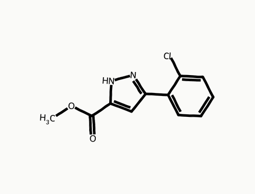 COC(=O)c1cc(-c2ccccc2Cl)n[nH]1